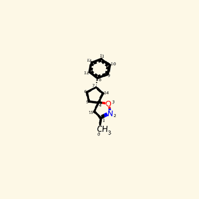 CC1=NOC2(CC[C@H](c3ccccc3)C2)C1